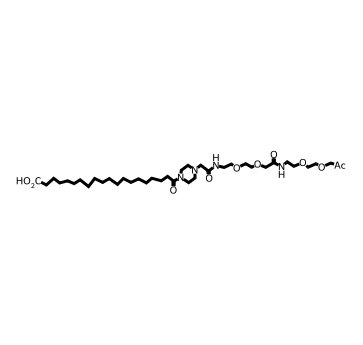 CC(=O)COCCOCCNC(=O)COCCOCCNC(=O)CN1CCN(C(=O)CCCCCCCCCCCCCCCCCCC(=O)O)CC1